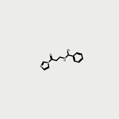 CC(C)C(NCCC(=O)n1ccnc1)c1ccccc1